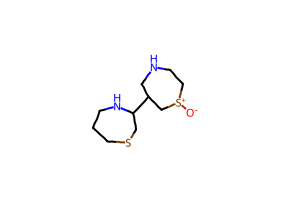 [O-][S+]1CCNCC(C2CSCCCN2)C1